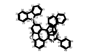 c1ccc(-c2cccc(-c3cc(-n4c5ccccc5c5ccccc54)cc4oc5cccc(-c6nc(-c7ccccc7)nc(-c7ccccc7)n6)c5c34)c2)cc1